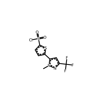 Cn1nc(C(F)(F)F)cc1-c1ccc(S(=O)(=O)Cl)s1